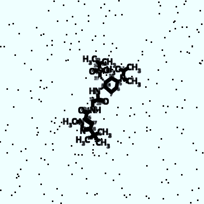 CC(C)N(C)[C@@H]1CC[C@H](NC(=O)CNC(=O)c2cc(C(C)(C)C)nn2C)[C@H](CS(=O)(=O)C(C)C)C1